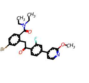 CCN(CC)C(=O)c1ccc(Br)cc1CC(=O)c1ccc(-c2ccnc(OC)c2)cc1F